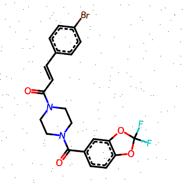 O=C(/C=C/c1ccc(Br)cc1)N1CCN(C(=O)c2ccc3c(c2)OC(F)(F)O3)CC1